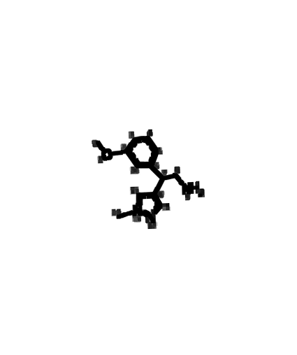 COc1cccc(C(CN)c2cnn(C)c2)c1